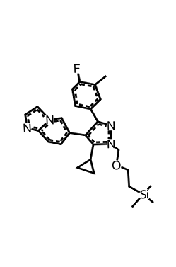 Cc1cc(-c2nn(COCC[Si](C)(C)C)c(C3CC3)c2-c2ccc3nccn3c2)ccc1F